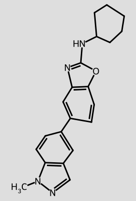 Cn1ncc2cc(-c3ccc4oc(NC5CCCCC5)nc4c3)ccc21